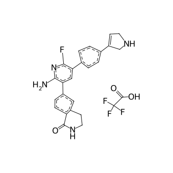 Nc1nc(F)c(-c2ccc(C3=CCNC3)cc2)cc1-c1ccc2c(c1)CCNC2=O.O=C(O)C(F)(F)F